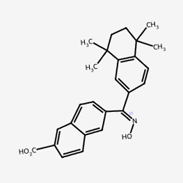 CC1(C)CCC(C)(C)c2cc(/C(=N/O)c3ccc4cc(C(=O)O)ccc4c3)ccc21